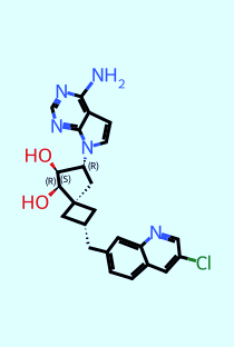 Nc1ncnc2c1ccn2[C@@H]1C[C@]2(C[C@@H](Cc3ccc4cc(Cl)cnc4c3)C2)[C@@H](O)[C@H]1O